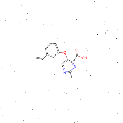 C=Cc1cccc(Oc2cnc(C)nc2C(=O)O)c1